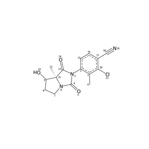 Cc1c(N2C(=O)N3CCC(O)[C@@]3(C)C2=O)ccc(C#N)c1Cl